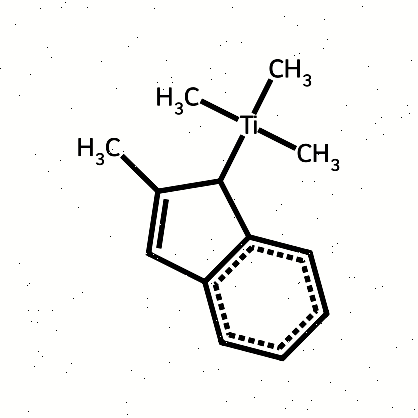 CC1=Cc2ccccc2[CH]1[Ti]([CH3])([CH3])[CH3]